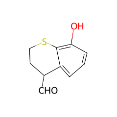 O=CC1CCSc2c(O)cccc21